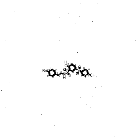 Cc1ccc(S(=O)(=O)c2ccc(C)c(S(=O)(=O)NCCc3ccc(Br)cc3)c2)cc1